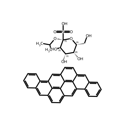 CC(C)O[C@]1(S(=O)(=O)O)O[C@H](CO)[C@H](O)[C@H](O)[C@H]1O.c1ccc2c(c1)cc1ccc3cc4c5ccccc5cc5ccc6cc2c1c3c6c54